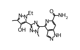 CCn1nc(C)c(O)c1-c1nc(-c2nc(C(N)=O)cc3[nH]ncc23)n(C)n1